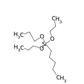 CCCCC[Si](OCCC)(OCCC)OCCC